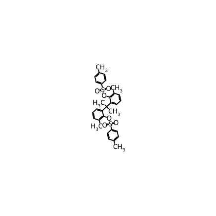 Cc1ccc(S(=O)(=O)Oc2c(C)cccc2C(C)(C)c2cccc(C)c2OS(=O)(=O)c2ccc(C)cc2)cc1